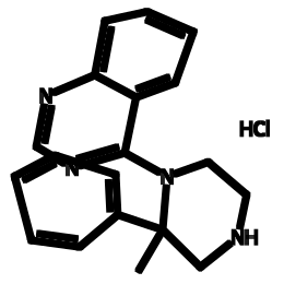 CC1(c2ccccc2)CNCCN1c1ncnc2ccccc12.Cl